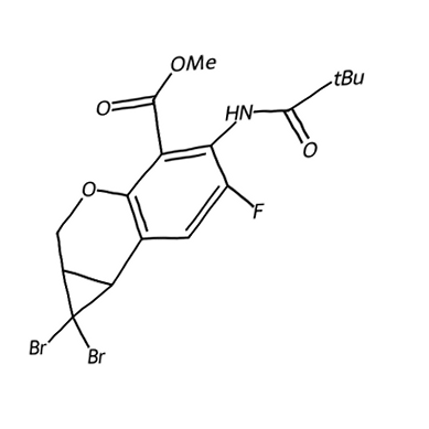 COC(=O)c1c(NC(=O)C(C)(C)C)c(F)cc2c1OCC1C2C1(Br)Br